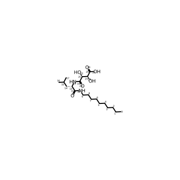 CCCCCCCCCCNC(=O)[C@H](CC(C)C)NC(=O)[C@@H](O)[C@H](O)C(=O)O